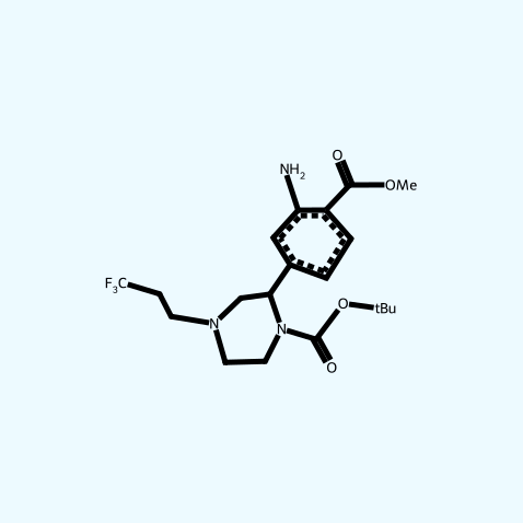 COC(=O)c1ccc(C2CN(CCC(F)(F)F)CCN2C(=O)OC(C)(C)C)cc1N